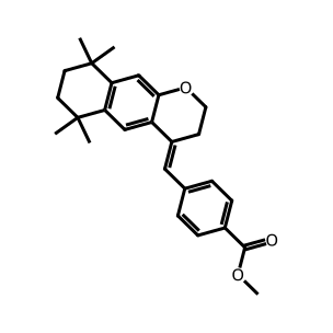 COC(=O)c1ccc(/C=C2\CCOc3cc4c(cc32)C(C)(C)CCC4(C)C)cc1